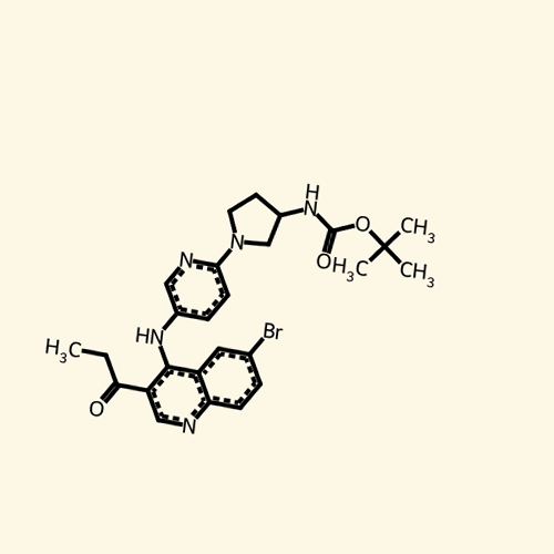 CCC(=O)c1cnc2ccc(Br)cc2c1Nc1ccc(N2CCC(NC(=O)OC(C)(C)C)C2)nc1